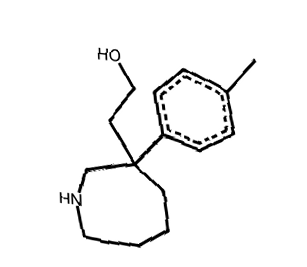 Cc1ccc(C2(CCO)CCCCNC2)cc1